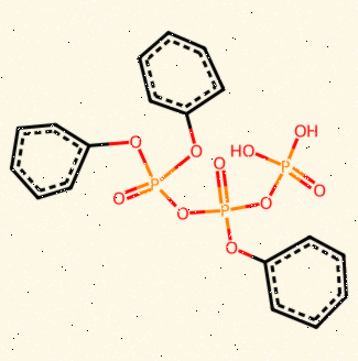 O=P(O)(O)OP(=O)(Oc1ccccc1)OP(=O)(Oc1ccccc1)Oc1ccccc1